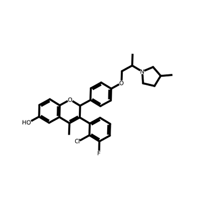 CC1=C(c2cccc(F)c2Cl)C(c2ccc(OCC(C)N3CCC(C)C3)cc2)Oc2ccc(O)cc21